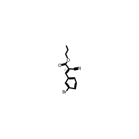 CCCOC(=O)/C(C#N)=C/c1cccc(Br)c1